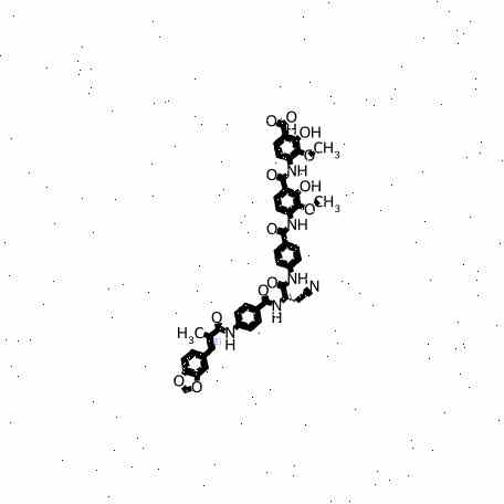 COc1c(NC(=O)c2ccc(NC(=O)c3ccc(NC(=O)[C@H](CC#N)NC(=O)c4ccc(NC(=O)/C(C)=C/c5ccc6c(c5)OCO6)cc4)cc3)c(OC)c2O)ccc(C(=O)O)c1O